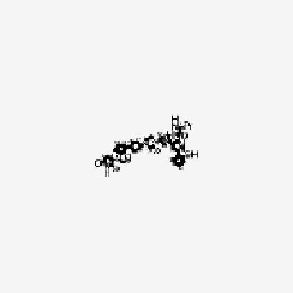 CC(C)[C@H](N)C(=O)Nc1nnc(-c2ccccc2O)cc1-n1cc(N2CCN(C3CCC(c4cccc5c4OCCN5[C@H]4CCC(=O)NC4=O)CC3)CC2=O)cn1